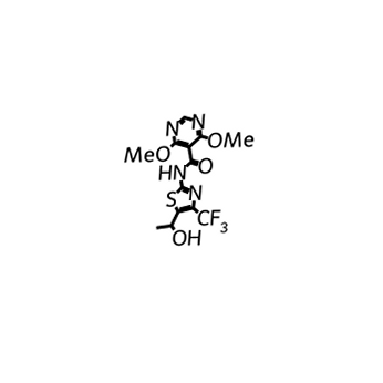 COc1ncnc(OC)c1C(=O)Nc1nc(C(F)(F)F)c(C(C)O)s1